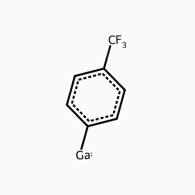 FC(F)(F)c1cc[c]([Ga])cc1